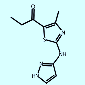 CCC(=O)c1sc(Nc2cc[nH]n2)nc1C